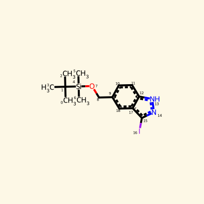 CC(C)(C)[Si](C)(C)OCc1ccc2[nH]nc(I)c2c1